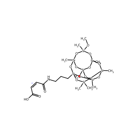 CO[Si]1(C)O[Si]2(C)O[Si]3(C)O[Si](C)(C)O[Si]4(CCCNC(=O)/C=C\C(=O)O)O[Si](C)(O1)O[Si](C)(O2)O[Si](C)(O3)O4